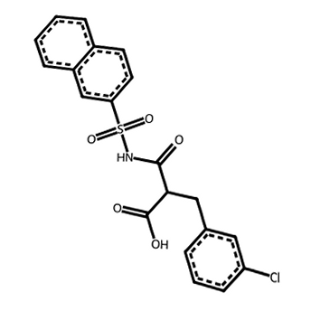 O=C(O)C(Cc1cccc(Cl)c1)C(=O)NS(=O)(=O)c1ccc2ccccc2c1